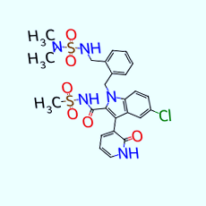 CN(C)S(=O)(=O)NCc1ccccc1Cn1c(C(=O)NS(C)(=O)=O)c(-c2ccc[nH]c2=O)c2cc(Cl)ccc21